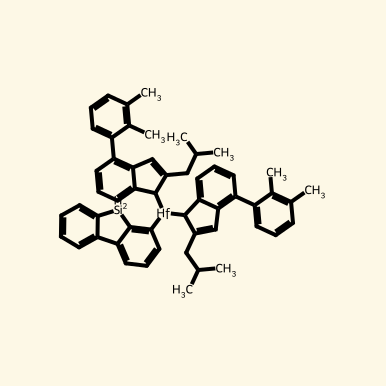 Cc1cccc(-c2cccc3c2C=C(CC(C)C)[CH]3[Hf]([c]2cccc3c2[SiH2]c2ccccc2-3)[CH]2C(CC(C)C)=Cc3c(-c4cccc(C)c4C)cccc32)c1C